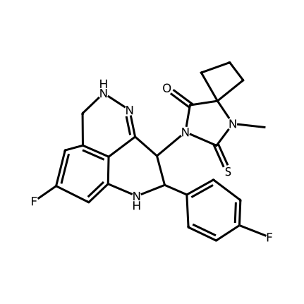 CN1C(=S)N(C2C3=NNCc4cc(F)cc(c43)NC2c2ccc(F)cc2)C(=O)C12CCC2